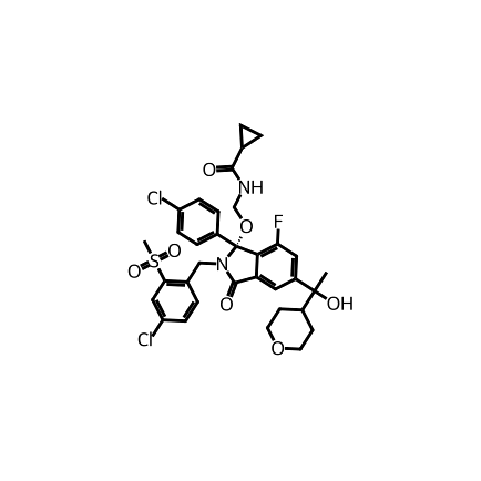 CC(O)(c1cc(F)c2c(c1)C(=O)N(Cc1ccc(Cl)cc1S(C)(=O)=O)[C@@]2(OCNC(=O)C1CC1)c1ccc(Cl)cc1)C1CCOCC1